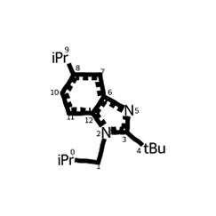 CC(C)Cn1c(C(C)(C)C)nc2cc(C(C)C)ccc21